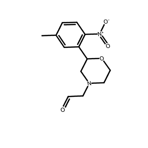 Cc1ccc([N+](=O)[O-])c(C2CN(CC=O)CCO2)c1